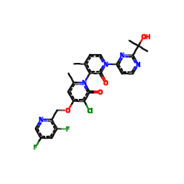 Cc1ccn(-c2ccnc(C(C)(C)O)n2)c(=O)c1-n1c(C)cc(OCc2ncc(F)cc2F)c(Cl)c1=O